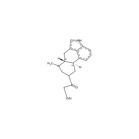 CC(=O)OCC(=O)C1C[C@@H]2c3cccc4[nH]cc(c34)C[C@H]2N(C)C1